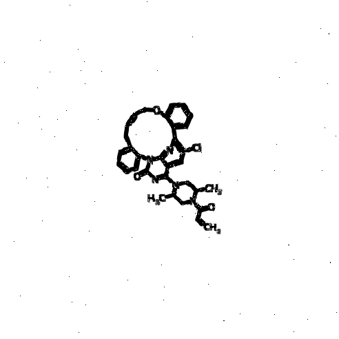 C=CC(=O)N1CC(C)N(c2nc(=O)n3c4nc(c(Cl)cc24)-c2ccccc2OC/C=C\Cc2ccccc2-3)CC1C